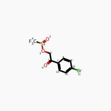 O=C(COS(=O)C(F)(F)F)c1ccc(Br)cc1